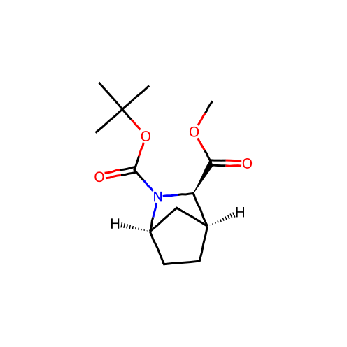 COC(=O)[C@H]1[C@H]2CC[C@H](C2)N1C(=O)OC(C)(C)C